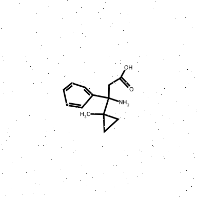 CC1(C(N)(CC(=O)O)c2ccccc2)CC1